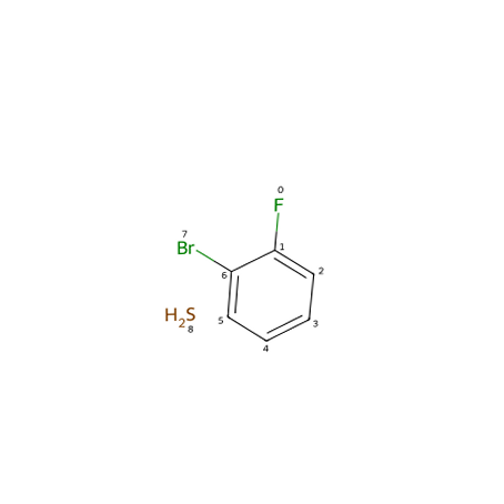 Fc1ccccc1Br.S